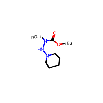 CCCCCCCCN(NN1CCCCC1)C(=O)OC(C)(C)C